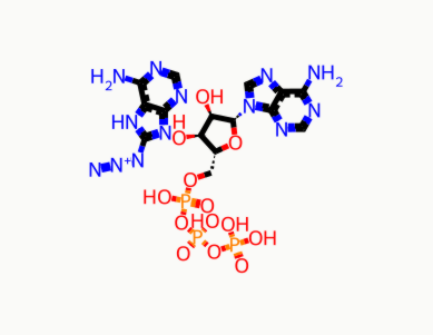 Nc1ncnc2c1ncn2[C@@H]1O[C@H](COP(=O)(O)OP(=O)(O)OP(=O)(O)O)[C@@H](O)[C@H]1O.[N-]=[N+]=Nc1nc2ncnc(N)c2[nH]1